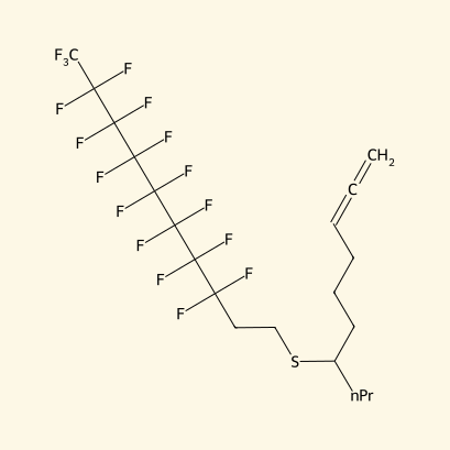 C=C=CCCCC(CCC)SCCC(F)(F)C(F)(F)C(F)(F)C(F)(F)C(F)(F)C(F)(F)C(F)(F)C(F)(F)F